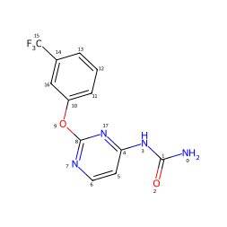 NC(=O)Nc1ccnc(Oc2cccc(C(F)(F)F)c2)n1